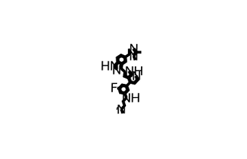 Cc1ncc(-c2ccc3[nH]nc(-c4cc5c(-c6cc(F)cc(NCCN(C)C)c6)ccnc5[nH]4)c3c2)n1C